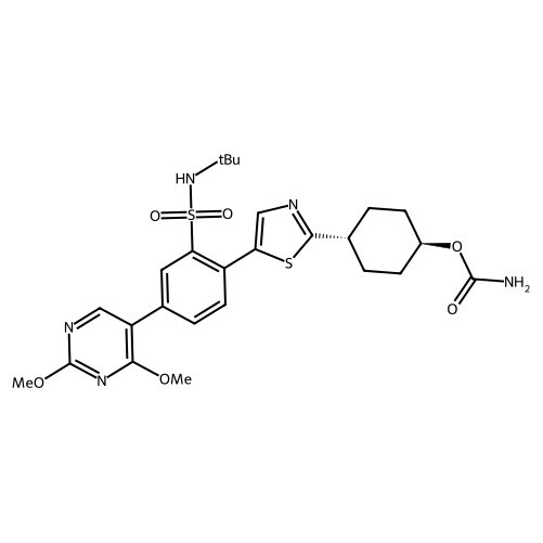 COc1ncc(-c2ccc(-c3cnc([C@H]4CC[C@H](OC(N)=O)CC4)s3)c(S(=O)(=O)NC(C)(C)C)c2)c(OC)n1